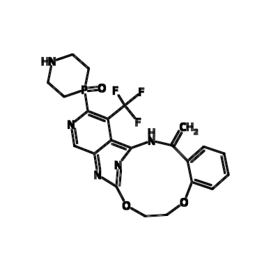 C=C1Nc2nc(nc3cnc(P4(=O)CCNCC4)c(C(F)(F)F)c23)OCCOc2ccccc21